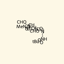 CNC(=O)C(CCC=O)N(C)C(=O)c1ccc(N2CCC3(CC2)CN(CCCCNC(=O)OC(C)(C)C)CCO3)cc1C=O